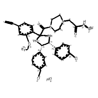 C#Cc1ccc(C2(C(=O)N3CCN(CC(=O)NC(C)(C)C)CC3)N[C@H](c3ccc(Cl)cc3)[C@H](c3ccc(Cl)cc3)N2)c(OCC)c1.Cl